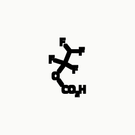 O=C(O)OC(F)(F)C(F)F